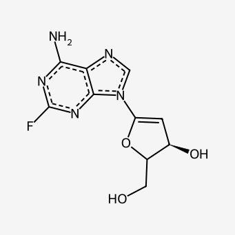 Nc1nc(F)nc2c1ncn2C1=C[C@@H](O)C(CO)O1